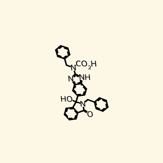 O=C(O)N(Cc1ccccc1)c1nc2cc(C3(O)c4ccccc4C(=O)N3Cc3ccccc3)ccc2[nH]1